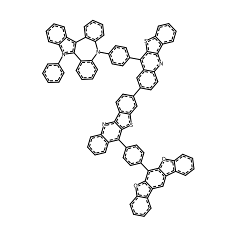 c1ccc(-n2c3c(c4ccccc42)-c2ccccc2N(c2ccc(-c4c5cc(-c6ccc7c(c6)sc6c(-c8ccc(-c9c%10oc%11ccccc%11c%10cc%10c9oc9ccccc9%10)cc8)c8ccccc8nc67)ccc5nc5c4sc4ccccc45)cc2)c2ccccc2-3)cc1